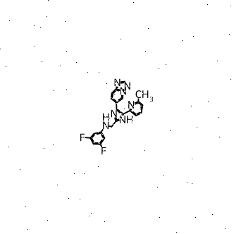 Cc1cccc(-c2[nH]c(CNc3cc(F)cc(F)c3)nc2-c2ccc3ncnn3c2)n1